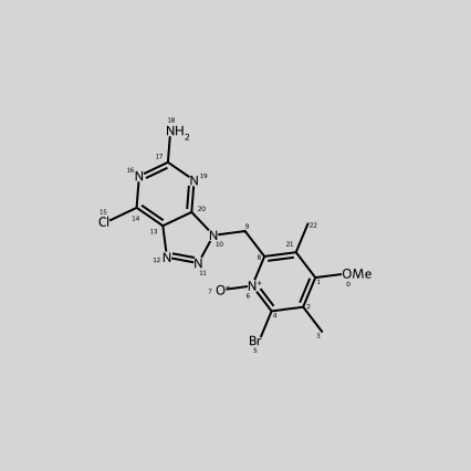 COc1c(C)c(Br)[n+]([O-])c(Cn2nnc3c(Cl)nc(N)nc32)c1C